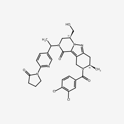 CC(c1ccc(N2CCCC2=O)nc1)N1C[C@@H](CO)n2nc3c(c2C1=O)CN(C(=O)c1ccc(Cl)c(Cl)c1)[C@H](C)C3